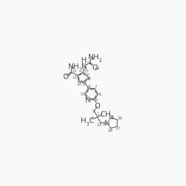 CC(C)(COc1ccc(-c2cc(C(N)=O)c(NC(N)=O)s2)cn1)CN1CCCC1